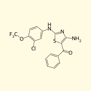 Nc1nc(Nc2ccc(OC(F)(F)F)c(Cl)c2)sc1C(=O)c1ccccc1